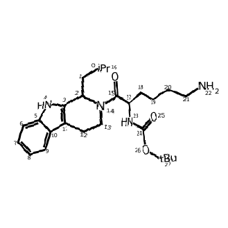 CC(C)CC1c2[nH]c3ccccc3c2CCN1C(=O)[C@@H](CCCCN)NC(=O)OC(C)(C)C